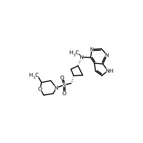 CC1CN(S(=O)(=O)C[C@H]2C[C@@H](N(C)c3ncnc4[nH]ccc34)C2)CCO1